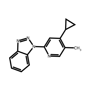 Cc1cnc(-n2nnc3ccccc32)cc1C1CC1